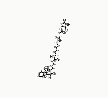 CCC1(c2ccccc2)C(=O)NC(=O)N(CCCCC(=O)NCCCCCCNC(=O)CCC(=O)OC2CC(=O)NC2=O)C1=O